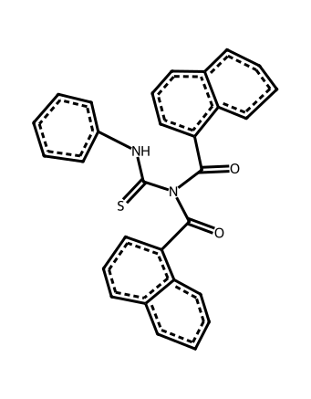 O=C(c1cccc2ccccc12)N(C(=O)c1cccc2ccccc12)C(=S)Nc1ccccc1